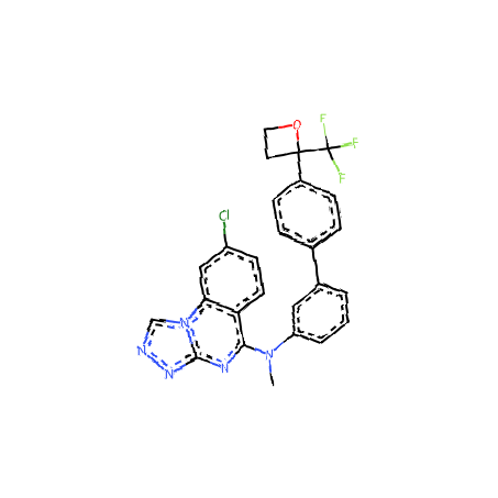 CN(c1cccc(-c2ccc(C3(C(F)(F)F)CCO3)cc2)c1)c1nc2nncn2c2cc(Cl)ccc12